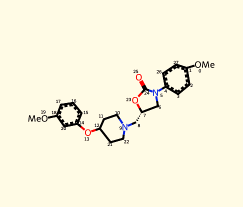 COc1ccc(N2C[C@H](CN3CCC(Oc4cccc(OC)c4)CC3)OC2=O)cc1